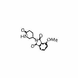 COc1cccc2c1C(=O)N(C1CCC(=O)NC1)C2=O